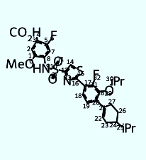 COc1cc(C(=O)O)c(F)cc1NS(=O)(=O)c1csc(-c2ccc(C3=CCC(C(C)C)CC3)c(OC(C)C)c2F)n1